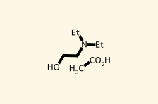 CC(=O)O.CCN(CC)CCO